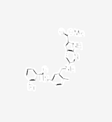 COC(=O)c1cc2cc(NCc3cc(NC(=O)c4cccc(C(C)C)c4)ccc3C)cnc2[nH]1